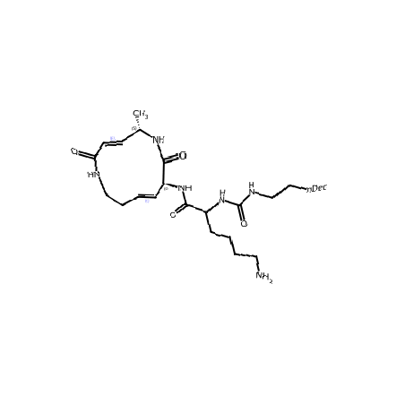 CCCCCCCCCCCCNC(=O)NC(CCCCN)C(=O)N[C@H]1/C=C/CCNC(=O)/C=C/[C@H](C)NC1=O